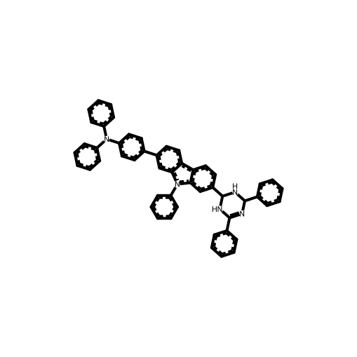 c1ccc(C2=NC(c3ccccc3)NC(c3ccc4c5ccc(-c6ccc(N(c7ccccc7)c7ccccc7)cc6)cc5n(-c5ccccc5)c4c3)N2)cc1